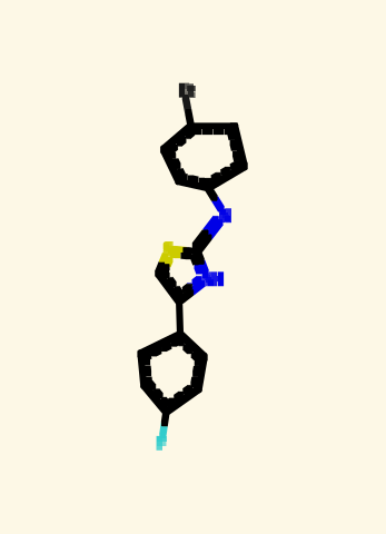 CCc1ccc(N=c2[nH]c(-c3ccc(F)cc3)cs2)cc1